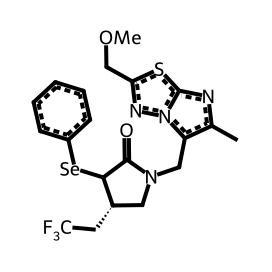 COCc1nn2c(CN3C[C@H](CC(F)(F)F)C([Se]c4ccccc4)C3=O)c(C)nc2s1